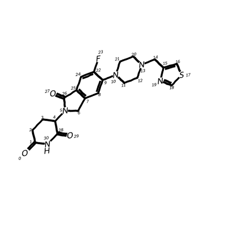 O=C1CCC(N2Cc3cc(N4CCN(Cc5cscn5)CC4)c(F)cc3C2=O)C(=O)N1